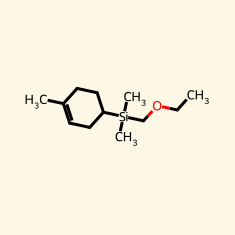 CCOC[Si](C)(C)C1CC=C(C)CC1